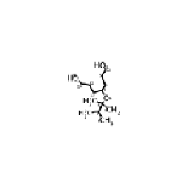 CC(C)C(C)(C)OC(CCCO)CCCO